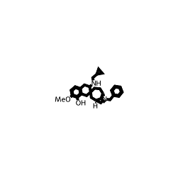 COc1ccc2c(c1O)CC1(CCC3C(C)[C@@H](CN3Cc3ccccc3)C1)C(NCC1CC1)C2